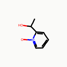 CC(O)c1cccc[n+]1[O-]